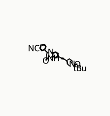 CC(C)(C)C(=O)N1CC=C(C#Cc2ccc3c(c2)NC(=O)CC(c2cccc(C#N)c2)=N3)CC1